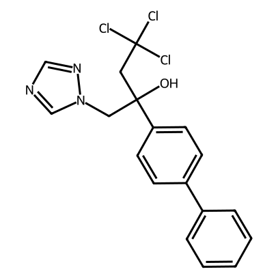 OC(Cn1cncn1)(CC(Cl)(Cl)Cl)c1ccc(-c2ccccc2)cc1